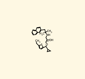 CCc1ccc(C(OC[C@H](O)CNC(C)(C)Cc2ccc3ccccc3c2)C2CC2)s1